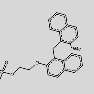 COc1ccc2ccccc2c1Cc1c(OCCOS(C)(=O)=O)ccc2ccccc12